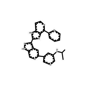 CC(C)Nc1cncc(-c2cc3c(-c4nc5c(-c6ccccn6)nccc5[nH]4)n[nH]c3cn2)c1